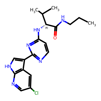 CCCNC(=O)[C@H](Nc1ccnc(-c2c[nH]c3ncc(Cl)cc23)n1)C(C)C